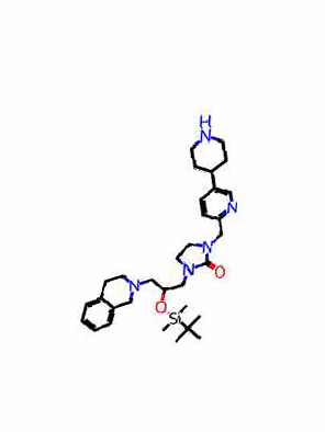 CC(C)(C)[Si](C)(C)OC(CN1CCc2ccccc2C1)CN1CCN(Cc2ccc(C3CCNCC3)cn2)C1=O